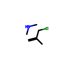 C=C(C)CCl.CNC